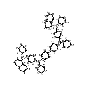 C1=CCC2C=CC=C(N(c3ccccc3)c3ccc(N(c4ccccc4)c4ccc(-c5ccc(N(c6ccccc6)c6ccc(N(c7ccccc7)c7cccc8ccccc78)cc6)cc5)cc4)cc3)C2=C1